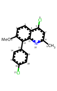 COc1ccc2c(Cl)cc(C)nc2c1-c1ccc(Cl)cc1